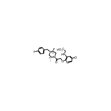 C[C@@H]1CN(Cc2ccc(F)cc2)[C@@H](C)CN1C(=O)COc1ncc(Cl)cc1NCC(=O)O